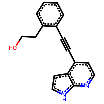 OCCc1ccccc1C#Cc1ccnc2[nH]ccc12